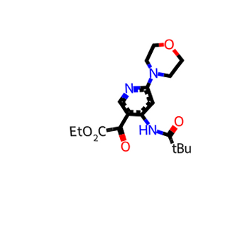 CCOC(=O)C(=O)c1cnc(N2CCOCC2)cc1NC(=O)C(C)(C)C